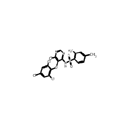 Cc1ccc(S(=O)(=O)Nc2ncnc(Cl)c2Oc2c(Cl)cc(Cl)cc2Cl)c(C)c1